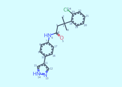 CC(C)(CC(=O)Nc1ccc(-c2cn[nH]c2)cc1)c1ccccc1Cl